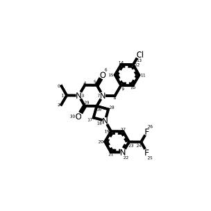 CC(C)N1CC(=O)N(Cc2ccc(Cl)cc2)C2(CN(c3ccnc(C(F)F)c3)C2)C1=O